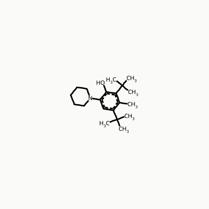 Cc1c(C(C)(C)C)cc(N2CCCCC2)c(O)c1C(C)(C)C